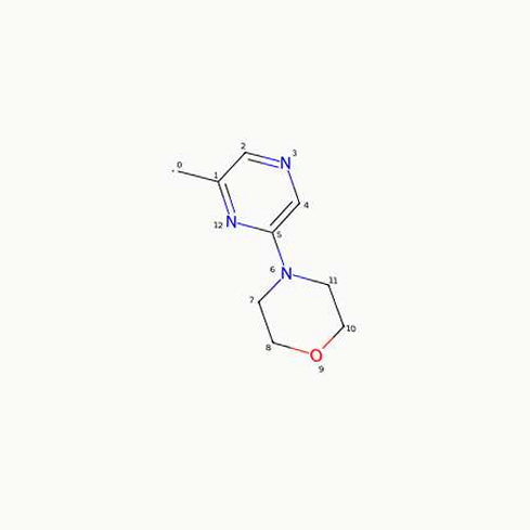 [CH2]c1cncc(N2CCOCC2)n1